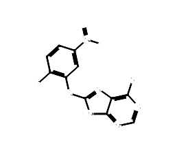 Nc1ncnc2[nH]c(Sc3cc([N+](=O)[O-])ccc3Cl)nc12